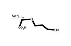 CN[C@H](OCCCO)C(=O)O